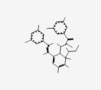 CCC(OC(=O)c1cc(Cl)cc(Cl)c1)C1C(C(=O)O)=CC(Cl)=C(O)C1(Cl)C(CC)OC(=O)c1cc(Cl)cc(Cl)c1